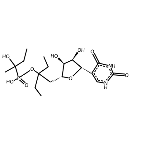 CCC(CC)(C[C@H]1O[C@@H](c2c[nH]c(=O)[nH]c2=O)[C@H](O)[C@@H]1O)OP(=O)(O)C(C)(O)CC